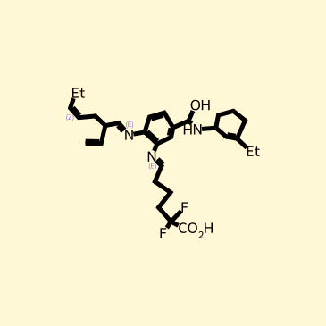 C=CC(/C=N/c1ccc(C(O)NC2C=C(CC)CCC2)cc1/N=C/CCCC(F)(F)C(=O)O)C/C=C\CC